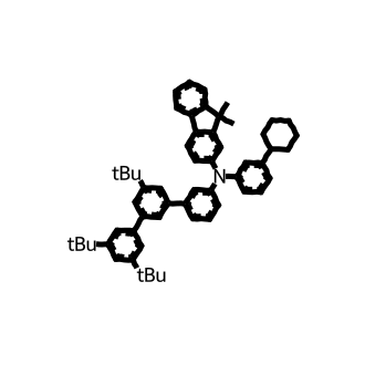 CC(C)(C)c1cc(-c2cccc(N(c3cccc(C4CCCCC4)c3)c3ccc4c(c3)C(C)(C)c3ccccc3-4)c2)cc(-c2cc(C(C)(C)C)cc(C(C)(C)C)c2)c1